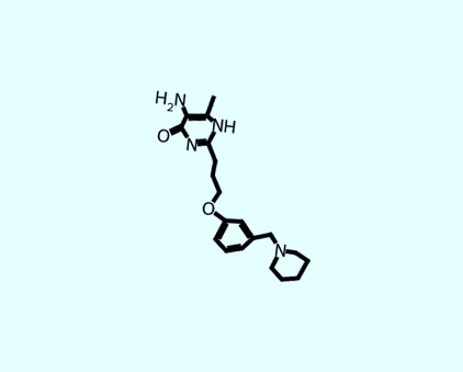 Cc1[nH]c(CCCOc2cccc(CN3CCCCC3)c2)nc(=O)c1N